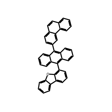 c1ccc2c(c1)ccc1ccc(-c3c4ccccc4c(-c4cccc5c4oc4ccccc45)c4ccccc34)cc12